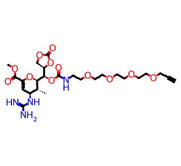 C#CCOCCOCCOCCOCCNC(=O)O[C@@H]([C@@H]1OC(C(=O)OC)=C[C@H](NC(=N)N)[C@H]1C)[C@H]1COC(=O)O1